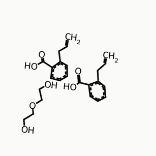 C=CCc1ccccc1C(=O)O.C=CCc1ccccc1C(=O)O.OCCOCCO